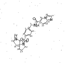 O=C(NCc1ccc(S(=O)(=O)N2CCCC23CCNC3)cc1)c1ccc2nccn2c1